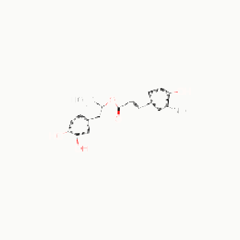 O=Nc1cc(/C=C/C(=O)OC(Cc2ccc(O)c(O)c2)C(=O)O)ccc1O